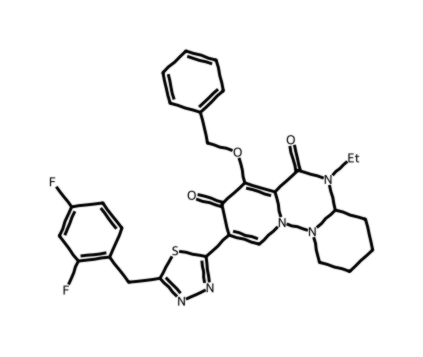 CCN1C(=O)c2c(OCc3ccccc3)c(=O)c(-c3nnc(Cc4ccc(F)cc4F)s3)cn2N2CCCCC12